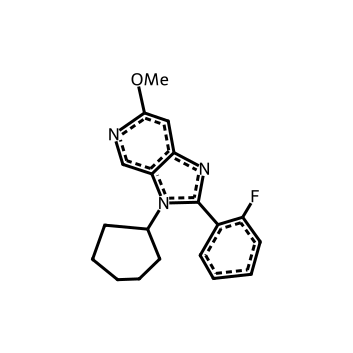 COc1cc2nc(-c3ccccc3F)n(C3CCCCC3)c2cn1